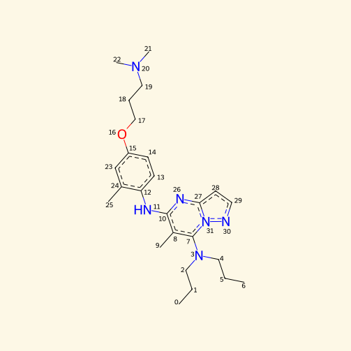 CCCN(CCC)c1c(C)c(Nc2ccc(OCCCN(C)C)cc2C)nc2ccnn12